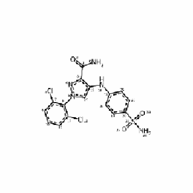 NC(=O)c1nn(-c2c(Cl)cccc2Cl)cc1Nc1ccc(S(N)(=O)=O)cc1